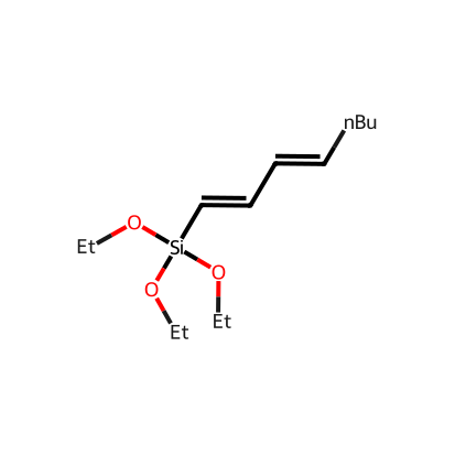 CCCCC=CC=C[Si](OCC)(OCC)OCC